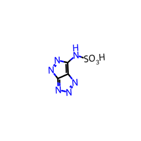 O=S(=O)(O)NC1=C2N=NN=C2N=N1